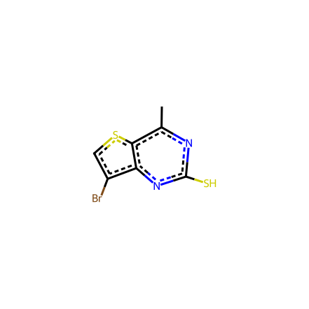 Cc1nc(S)nc2c(Br)csc12